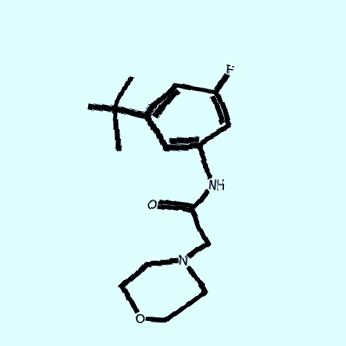 CC(C)(C)c1cc(F)cc(NC(=O)CN2CCOCC2)c1